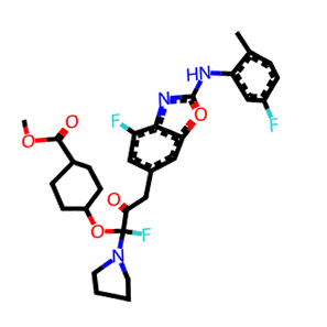 COC(=O)C1CCC(OC(F)(C(=O)Cc2cc(F)c3nc(Nc4cc(F)ccc4C)oc3c2)N2CCCC2)CC1